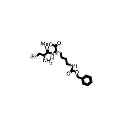 COC(=O)[C@H](CCCCNC(=O)OCc1ccccc1)NC(=O)[C@@H](N)CC(C)C